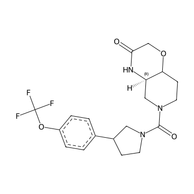 O=C1COC2CCN(C(=O)N3CCC(c4ccc(OC(F)(F)F)cc4)C3)C[C@H]2N1